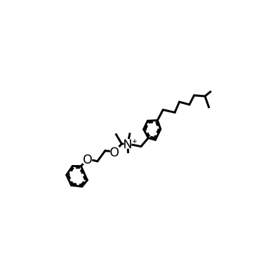 CC(C)CCCCCc1ccc(C[N+](C)(C)C(C)OCCOc2ccccc2)cc1